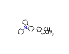 C/C=C\c1cc(-c2ccc3c(c2)c2ccccc2n3-c2ccccc2)ccc1C